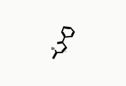 C=C(Br)/C=C\C(=C)c1ccccc1